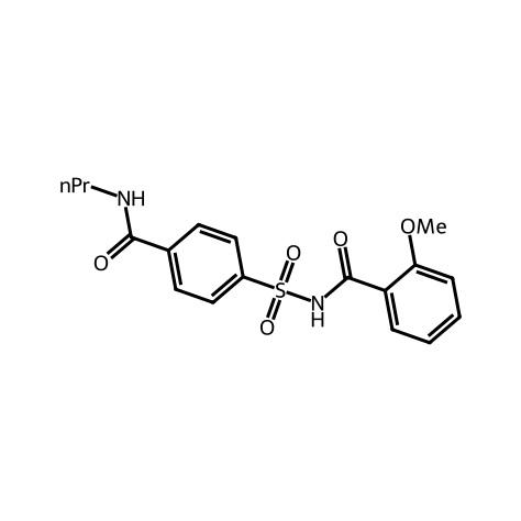 CCCNC(=O)c1ccc(S(=O)(=O)NC(=O)c2ccccc2OC)cc1